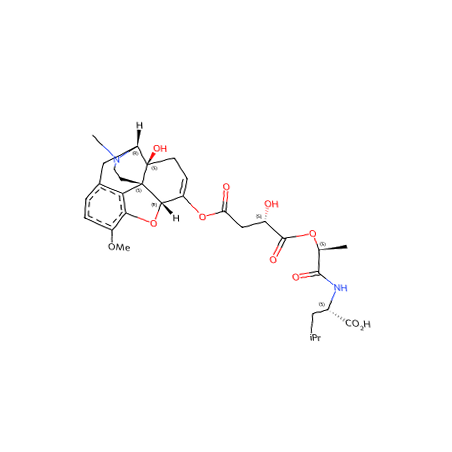 COc1ccc2c3c1O[C@H]1C(OC(=O)C[C@H](O)C(=O)O[C@@H](C)C(=O)N[C@@H](CC(C)C)C(=O)O)=CC[C@@]4(O)[C@@H](C2)N(C)CC[C@]314